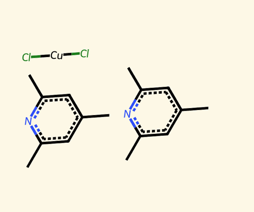 Cc1cc(C)nc(C)c1.Cc1cc(C)nc(C)c1.[Cl][Cu][Cl]